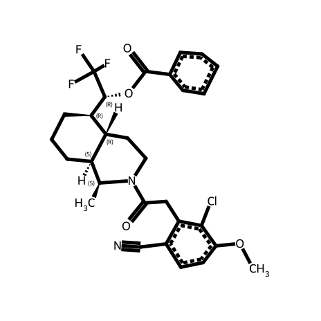 COc1ccc(C#N)c(CC(=O)N2CC[C@H]3[C@H]([C@@H](OC(=O)c4ccccc4)C(F)(F)F)CCC[C@@H]3[C@@H]2C)c1Cl